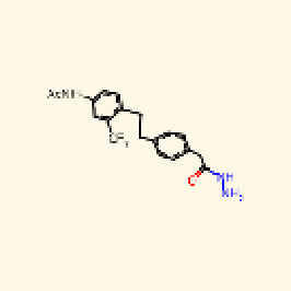 CC(=O)Nc1ccc(CCc2ccc(CC(=O)NN)cc2)c(C(F)(F)F)c1